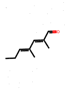 CC/C=C(C)/C=C(\C)C=O